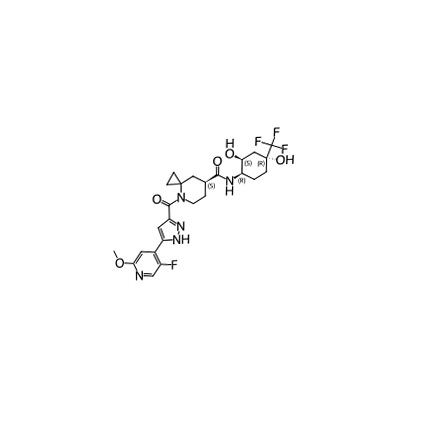 COc1cc(-c2cc(C(=O)N3CC[C@H](C(=O)N[C@@H]4CC[C@](O)(C(F)(F)F)C[C@@H]4O)CC34CC4)n[nH]2)c(F)cn1